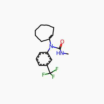 CNC(=O)N(C1=CCCCCCC1)c1cccc(C(F)(F)F)c1